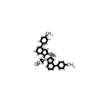 Cc1ccc(-c2cccc3c2C=C(C(C)(C)C)[CH]3[Zr+2]2([CH]3C(C(C)(C)C)=Cc4c(-c5ccc(C)cc5)cccc43)[CH2][CH2]2)cc1.[Cl-].[Cl-]